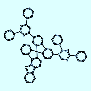 c1ccc(-c2nc(-c3ccccc3)nc(-c3ccc4c(c3)C3(c5ccc(-[n+]6cnc(-c7ccccc7)nc6-c6ccccc6)cc5-4)c4ccccc4-c4c3ccc3c4oc4ccccc43)n2)cc1